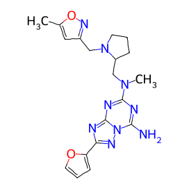 Cc1cc(CN2CCCC2CN(C)c2nc(N)n3nc(-c4ccco4)nc3n2)no1